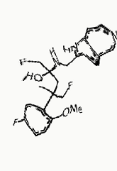 COc1ccc(F)cc1C(C)(CF)CC(O)(CF)NCc1cc2cnccc2[nH]1